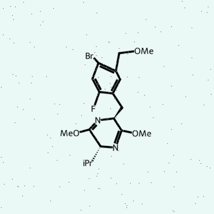 COCc1cc(C[C@@H]2N=C(OC)[C@@H](C(C)C)N=C2OC)c(F)cc1Br